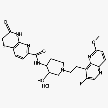 COc1ccc2ncc(F)c(CCN3CCC(NC(=O)c4ccc5c(n4)NC(=O)CS5)C(O)C3)c2n1.Cl